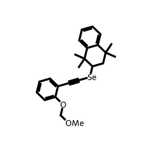 COCOc1ccccc1C#C[Se]C1CC(C)(C)c2ccccc2C1(C)C